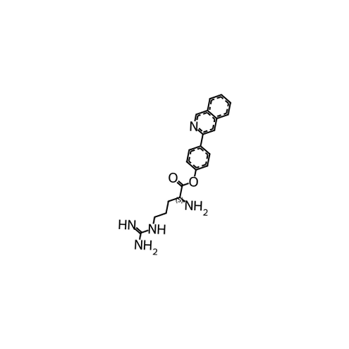 N=C(N)NCCC[C@H](N)C(=O)Oc1ccc(-c2cc3ccccc3cn2)cc1